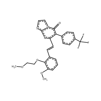 COCCOc1c(/C=C/c2nc3sccn3c(=O)c2-c2ccc(C(F)(F)F)cc2)cccc1OC